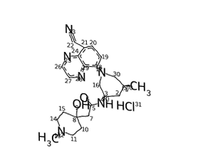 C[C@H]1C[C@@H](NC(=O)CC2(O)CCN(C)CC2)CN(c2ccc(C#N)c3nccnc23)C1.Cl